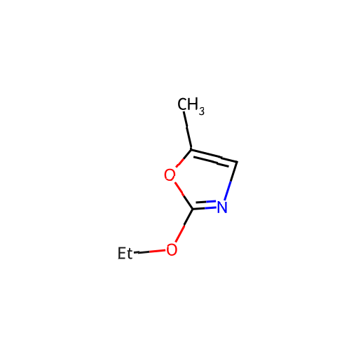 CCOc1ncc(C)o1